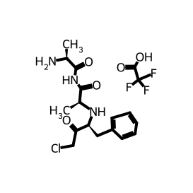 C[C@H](N)C(=O)NC(=O)[C@H](C)N[C@@H](Cc1ccccc1)C(=O)CCl.O=C(O)C(F)(F)F